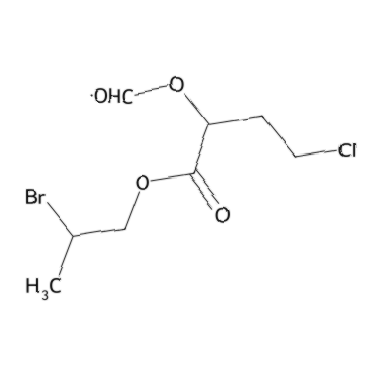 CC(Br)COC(=O)C(CCCl)O[C]=O